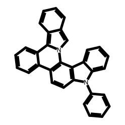 c1ccc(-n2c3ccccc3c3c2ccc2c4ccccc4c4c5ccccc5cn4c23)cc1